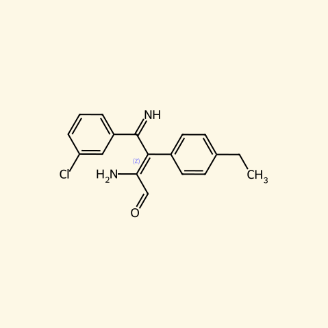 CCc1ccc(/C(C(=N)c2cccc(Cl)c2)=C(/N)C=O)cc1